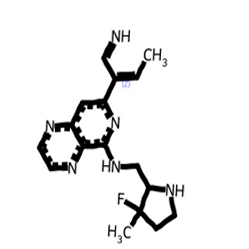 C/C=C(\C=N)c1cc2nccnc2c(NCC2NCCC2(C)F)n1